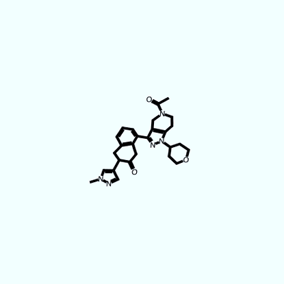 CC(=O)N1CCc2c(c(-c3cccc4c3CC(=O)C(c3cnn(C)c3)C4)nn2C2CCOCC2)C1